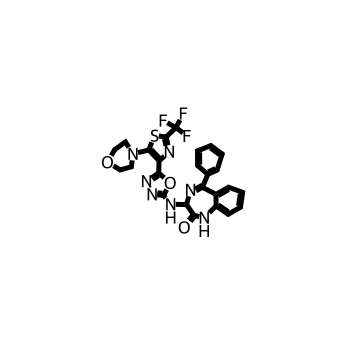 O=C1Nc2ccccc2C(c2ccccc2)=NC1Nc1nnc(-c2nc(C(F)(F)F)sc2N2CCOCC2)o1